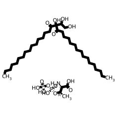 CCCCCCCCCCCCCCCC(=O)C(O)(C(=O)CCCCCCCCCCCCCCC)C(O)CO.C[C@@H](OP(=O)(O)OP(=O)(O)O)[C@H](N)C(=O)O